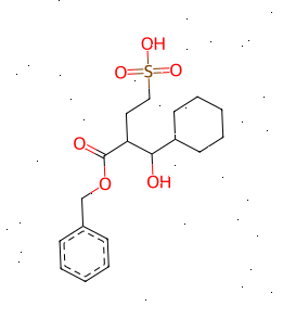 O=C(OCc1ccccc1)C(CCS(=O)(=O)O)C(O)C1CCCCC1